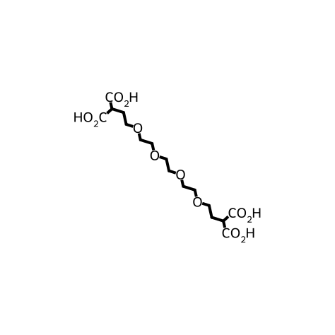 O=C(O)C(CCOCCOCCOCCOCCC(C(=O)O)C(=O)O)C(=O)O